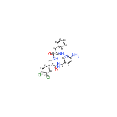 Nc1ccc(CNC(=O)[C@@H](CNC(=O)[C@H](N)Cc2ccccc2)c2ccc(Cl)c(Cl)c2)cn1